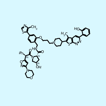 Cc1ncsc1-c1ccc(CNC(=O)[C@@H]2C[C@@H](O)CN2C(=O)[C@@H](c2cc(N3CCOCC3)no2)C(C)C)c(OCCCN2CCC(c3sc4nnc(-c5ccccc5O)cc4c3C)CC2)c1